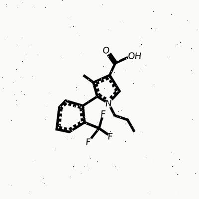 CCCn1cc(C(=O)O)c(C)c1-c1ccccc1C(F)(F)F